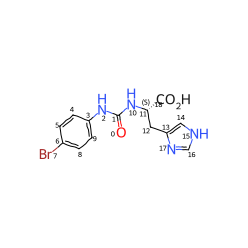 O=C(Nc1ccc(Br)cc1)N[C@@H](Cc1c[nH]cn1)C(=O)O